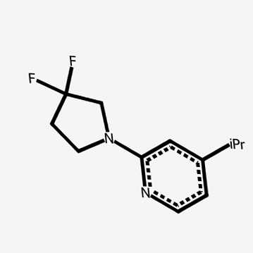 CC(C)c1ccnc(N2CCC(F)(F)C2)c1